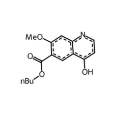 CCCCOC(=O)c1cc2c(O)ccnc2cc1OC